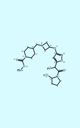 CC(C)C(C(=O)N1CCCC1C)c1cc(OC2CN(CC3CCN(C(=O)OC(C)(C)C)CC3)C2)no1